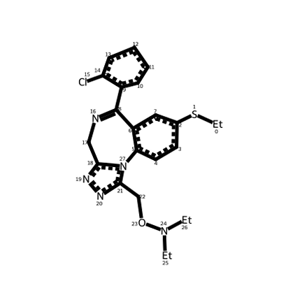 CCSc1ccc2c(c1)C(c1ccccc1Cl)=NCc1nnc(CON(CC)CC)n1-2